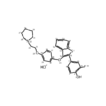 Cl.Oc1ccc(-c2sc3ccccc3c2Oc2ccc(OCCN3CCCCC3)cc2)cc1F